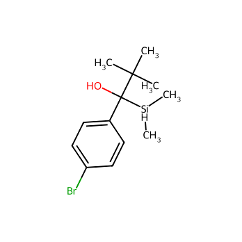 C[SiH](C)C(O)(c1ccc(Br)cc1)C(C)(C)C